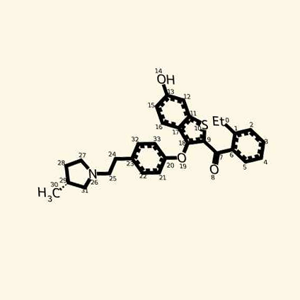 CCc1ccccc1C(=O)c1sc2cc(O)ccc2c1Oc1ccc(CCN2CC[C@@H](C)C2)cc1